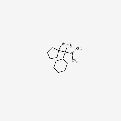 CN(C)C(C)(C1CCCCC1)C1(O)CCCC1